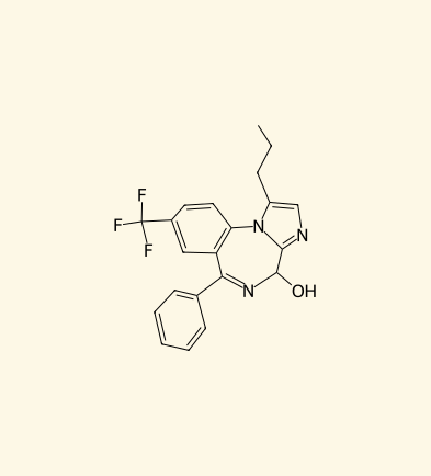 CCCc1cnc2n1-c1ccc(C(F)(F)F)cc1C(c1ccccc1)=NC2O